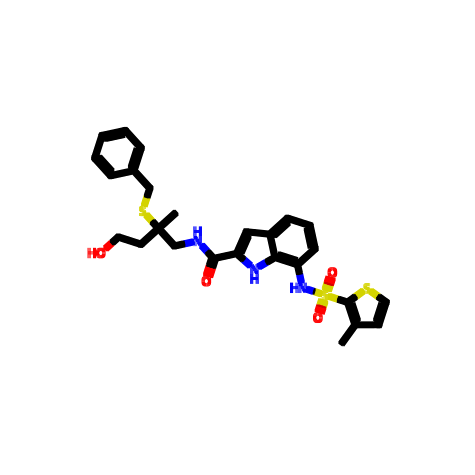 Cc1ccsc1S(=O)(=O)Nc1cccc2cc(C(=O)NCC(C)(CCO)SCc3ccccc3)[nH]c12